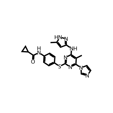 Cc1cc(Nc2nc(Sc3ccc(NC(=O)C4CC4)cc3)nc(-n3ccnc3)c2C)n[nH]1